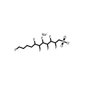 O=S(=O)([O-])CC(F)C(F)C(F)C(F)C(F)C(F)CCCCF.[Na+]